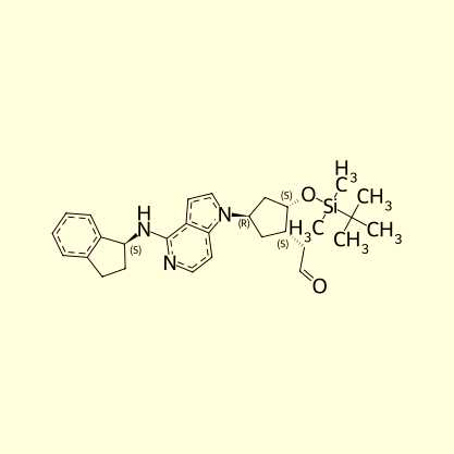 CC(C)(C)[Si](C)(C)O[C@H]1C[C@H](n2ccc3c(N[C@H]4CCc5ccccc54)nccc32)C[C@H]1CC=O